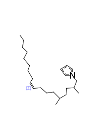 CCCCCCCC/C=C\CCCC(C)CCC(C)Cn1cccc1